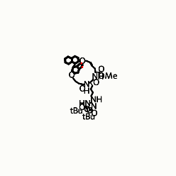 COC(=O)[C@@H]1C/C=C/COc2ccc3ccccc3c2-c2c(ccc3ccccc23)OCCCC(=O)N[C@H](CCCCN/C(=N/C(=O)OC(C)(C)C)NC(=O)OC(C)(C)C)C(=O)N1